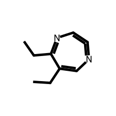 CCC1=CN=C=CN=C1CC